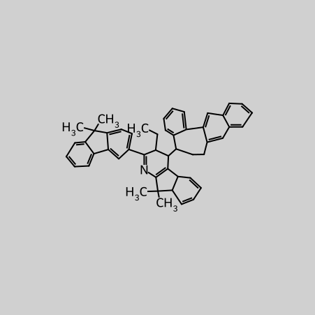 CCC1C(c2ccc3c(c2)-c2ccccc2C3(C)C)=NC2=C(C3C=CC=CC3C2(C)C)C1C1CCc2cc3ccccc3cc2-c2ccccc21